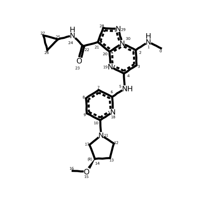 CNc1cc(Nc2cccc(N3CC[C@@H](OC)C3)n2)nc2c(C(=O)NC3CC3)cnn12